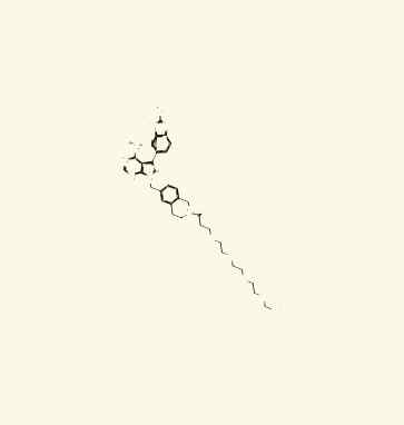 CCOCCOCCOCCOCCC(=O)N1CCc2cc(Cn3nc(-c4ccc5oc(N)nc5c4)c4c(N(C)C)ncnc43)ccc2C1